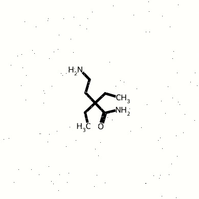 CCC(CC)(CCN)C(N)=O